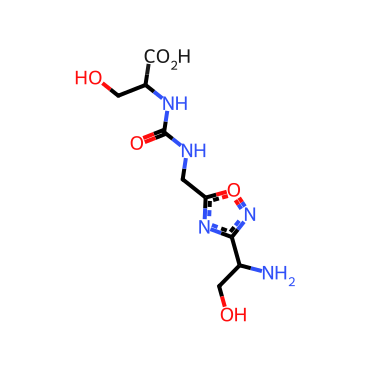 NC(CO)c1noc(CNC(=O)NC(CO)C(=O)O)n1